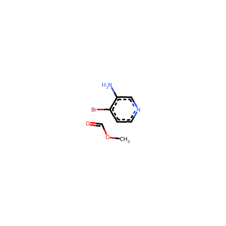 COC=O.Nc1cnccc1Br